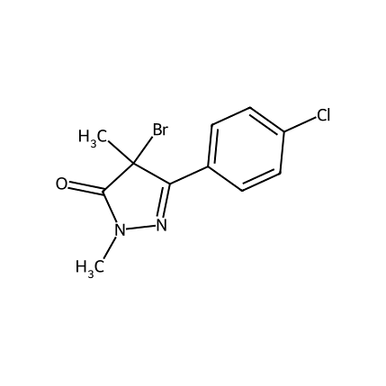 CN1N=C(c2ccc(Cl)cc2)C(C)(Br)C1=O